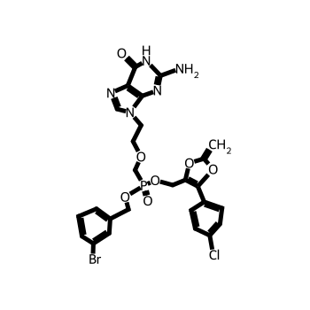 C=C1OC(COP(=O)(COCCn2cnc3c(=O)[nH]c(N)nc32)OCc2cccc(Br)c2)=C(c2ccc(Cl)cc2)O1